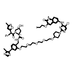 Cc1cc(C(C(=O)N2C[C@H](O)C[C@H]2C(=O)NCc2ccc(-c3scnc3C)cc2OCCOCCOCCOCCOC2CCN(c3ncc(Cl)c(Nc4ccc5c(c4)cc(OCCI)c(=O)n5C)n3)CC2)C(C)C)on1